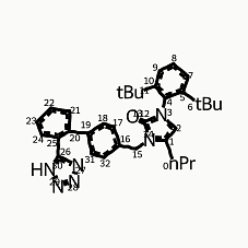 CCCc1cn(-c2c(C(C)(C)C)cccc2C(C)(C)C)c(=O)n1Cc1ccc(-c2ccccc2-c2nnn[nH]2)cc1